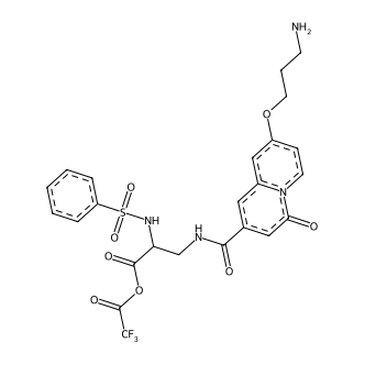 NCCCOc1ccn2c(=O)cc(C(=O)NCC(NS(=O)(=O)c3ccccc3)C(=O)OC(=O)C(F)(F)F)cc2c1